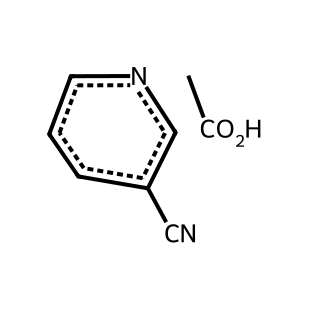 CC(=O)O.N#Cc1cccnc1